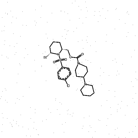 CC[C@@H]1CCC[C@H](COC(=O)N2CCC(N3CCCCC3)CC2)N1S(=O)(=O)c1ccc(Cl)cc1